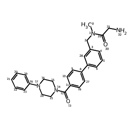 CN(Cc1cccc(-c2ccc(C(=O)N3CCN(c4ccccc4)CC3)cc2)c1)C(=O)CN